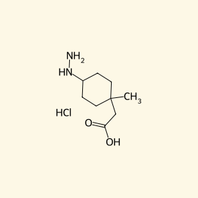 CC1(CC(=O)O)CCC(NN)CC1.Cl